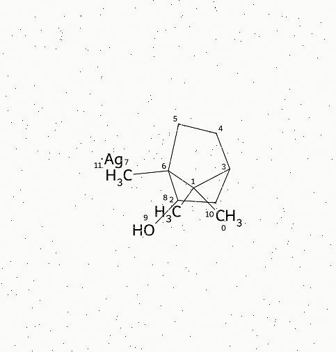 CC1(C)C2CCC1(C)C(O)C2.[Ag]